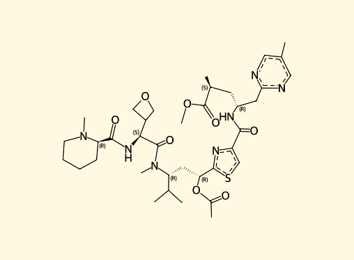 COC(=O)[C@@H](C)C[C@H](Cc1ncc(C)cn1)NC(=O)c1csc([C@@H](C[C@H](C(C)C)N(C)C(=O)[C@@H](NC(=O)[C@H]2CCCCN2C)C2COC2)OC(C)=O)n1